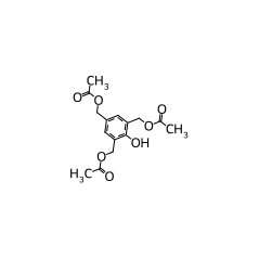 CC(=O)OCc1cc(COC(C)=O)c(O)c(COC(C)=O)c1